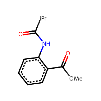 COC(=O)c1ccccc1NC(=O)C(C)C